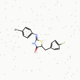 CC(C)c1ccc(/N=C2\NC(=O)C(Cc3ccc(F)cc3)S2)cc1